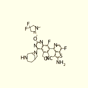 CN1CC(F)(F)C[C@H]1COc1nc(N2CC3CCNCC2C3)c2c3c(c(-c4ncc(F)c5sc(N)c(C#N)c45)c(F)c2n1)COC3